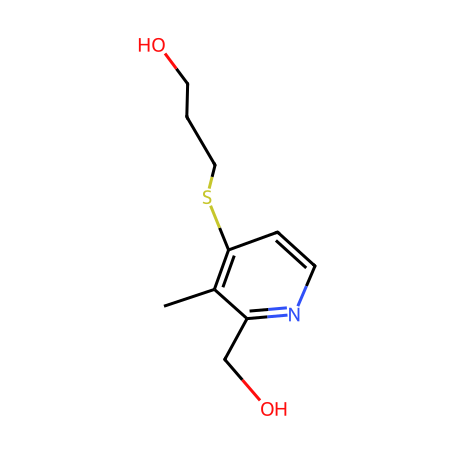 Cc1c(SCCCO)ccnc1CO